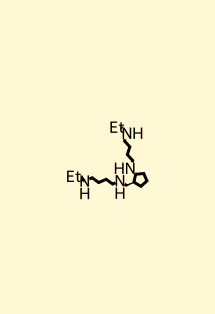 CCNCCCCNC[C@@H]1CCCC1NCCCCNCC